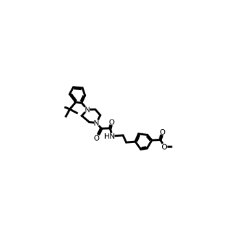 COC(=O)c1ccc(CCNC(=O)C(=O)N2CCN(c3ccccc3C(C)(C)C)CC2)cc1